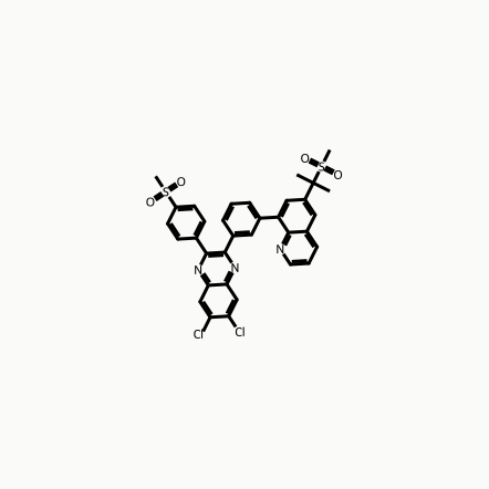 CC(C)(c1cc(-c2cccc(-c3nc4cc(Cl)c(Cl)cc4nc3-c3ccc(S(C)(=O)=O)cc3)c2)c2ncccc2c1)S(C)(=O)=O